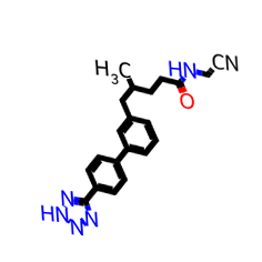 CC(CCC(=O)NCC#N)Cc1cccc(-c2ccc(-c3nn[nH]n3)cc2)c1